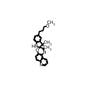 COCCCc1ccc2c(c1)C(C)(C)C1(C=Nc3c(ccc4ncccc34)O1)N2